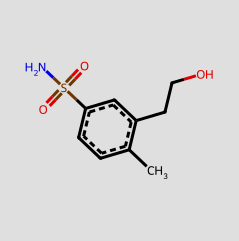 Cc1ccc(S(N)(=O)=O)cc1CCO